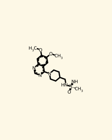 COc1cc2ncnc(N3CCC(CN[S@@](C)(=N)=O)CC3)c2cc1OC